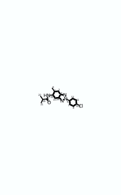 Cc1cc2nn(-c3ccc(Cl)cc3)nc2cc1NC(=O)C(C)C